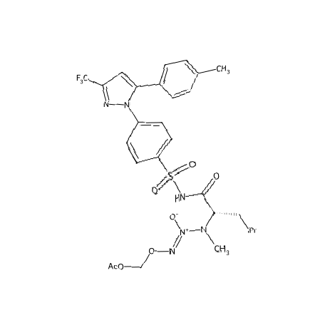 CC(=O)OCO/N=[N+](\[O-])N(C)[C@@H](CC(C)C)C(=O)NS(=O)(=O)c1ccc(-n2nc(C(F)(F)F)cc2-c2ccc(C)cc2)cc1